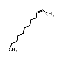 [CH2]CCCCCCCC/C=C\C